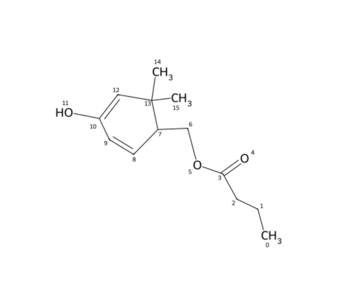 CCCC(=O)OCC1C=CC(O)=CC1(C)C